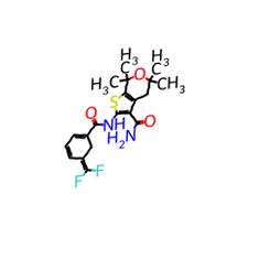 CC1(C)Cc2c(sc(NC(=O)C3=CC=CC(=C(F)F)C3)c2C(N)=O)C(C)(C)O1